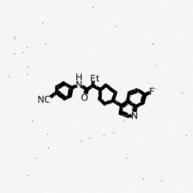 CCC(C(=O)Nc1ccc(C#N)cc1)C1CCC(c2ccnc3cc(F)ccc23)CC1